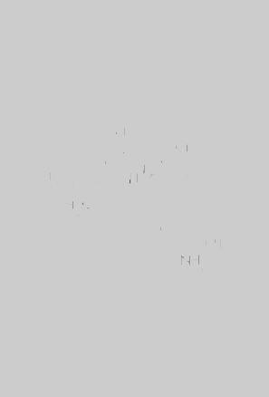 CC(C)(N)CCOC(C)(C)CC(C)(C)OC(C)(N)C(=O)O